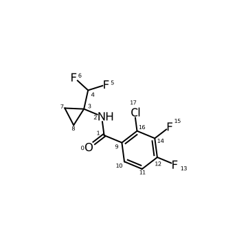 O=C(NC1(C(F)F)CC1)c1ccc(F)c(F)c1Cl